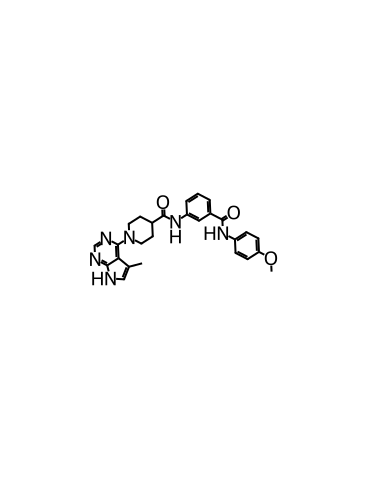 COc1ccc(NC(=O)c2cccc(NC(=O)C3CCN(c4ncnc5[nH]cc(C)c45)CC3)c2)cc1